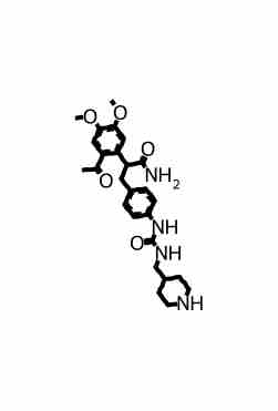 COc1cc(C(C)=O)c(C(Cc2ccc(NC(=O)NCC3CCNCC3)cc2)C(N)=O)cc1OC